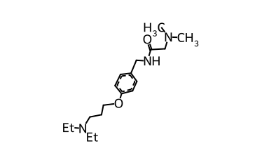 CCN(CC)CCCOc1ccc(CNC(=O)CN(C)C)cc1